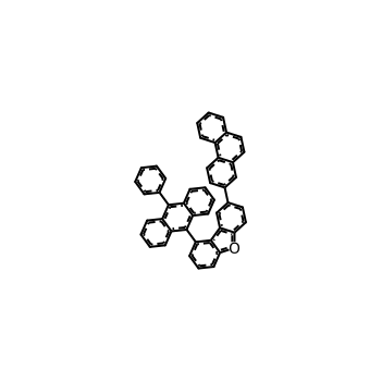 c1ccc(-c2c3ccccc3c(-c3cccc4oc5ccc(-c6ccc7c(ccc8ccccc87)c6)cc5c34)c3ccccc23)cc1